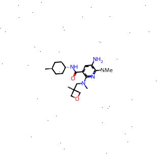 CNc1nc(N(C)CC2(C)COC2)c(C(=O)N[C@H]2CC[C@H](C)CC2)cc1N